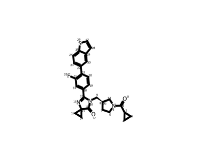 O=C(C1CC1)N1CC[C@@H](CN2C(=O)C3(CC3)N=C2c2ccc(-c3ccc4sccc4c3)c(F)c2)C1